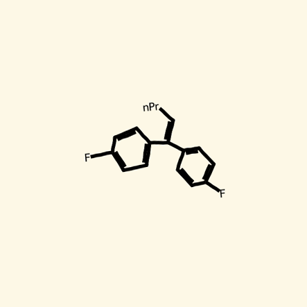 CCCC=C(c1ccc(F)cc1)c1ccc(F)cc1